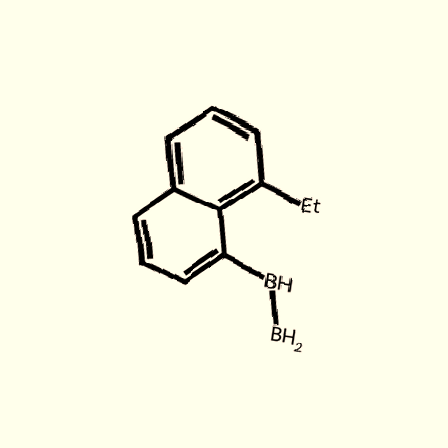 BBc1cccc2cccc(CC)c12